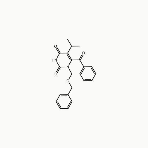 CC(C)c1c(C(=O)c2ccccc2)n(COCc2ccccc2)c(=O)[nH]c1=O